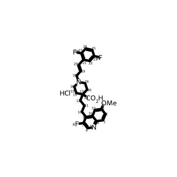 COc1ccc2ncc(F)c(CCCC3(C(=O)O)CCN(CC=Cc4cc(F)ccc4F)CC3)c2c1.Cl